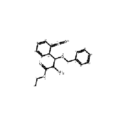 CCOC(=O)C(N)C(OCc1ccccc1)C1C=CC=CC1=C=O